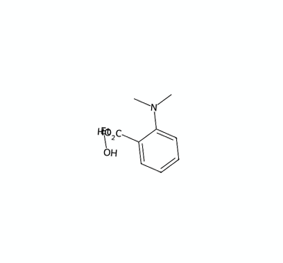 CCO.CN(C)c1ccccc1C(=O)O